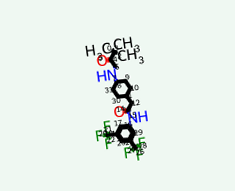 CC(C)(C)C(=O)CNC1CCC(CC(=O)Nc2cc(C(F)(F)F)cc(C(F)(F)F)c2)CC1